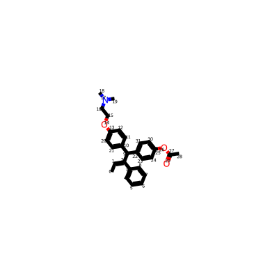 C/C=C(\c1ccccc1)C(c1ccc(OCCN(C)C)cc1)c1ccc(OC(C)=O)cc1